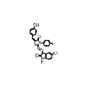 O=C1Nc2ccc(Cl)cc2C1=NN=C1SC(=Cc2ccc(O)cc2)C(=O)N1c1ccc(F)cc1